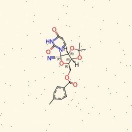 Cc1ccc(C(=O)OC[C@H]2O[C@@](C#N)(n3ccc(=O)[nH]c3=O)[C@@H]3OC(C)(C)O[C@@H]32)cc1